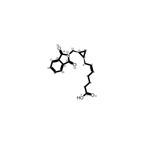 O=C(O)CCC/C=C\C[C@@H]1C[C@@H]1CN1C(=O)c2ccccc2C1=O